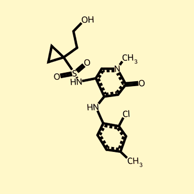 Cc1ccc(Nc2cc(=O)n(C)cc2NS(=O)(=O)C2(CCO)CC2)c(Cl)c1